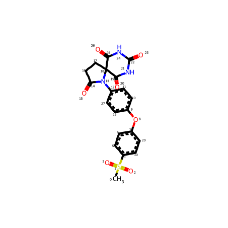 CS(=O)(=O)c1ccc(Oc2ccc(N3C(=O)CCC34C(=O)NC(=O)NC4=O)cc2)cc1